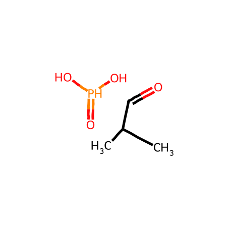 CC(C)C=O.O=[PH](O)O